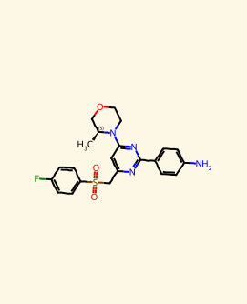 C[C@H]1COCCN1c1cc(CS(=O)(=O)c2ccc(F)cc2)nc(-c2ccc(N)cc2)n1